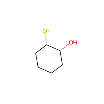 O[C@@H]1CCCC[C@@H]1S